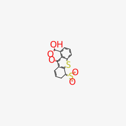 O=C(O)c1cccc2sc3c(c(=O)c12)C=CCC3=S(=O)=O